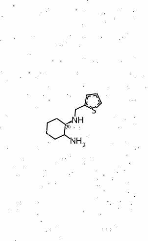 NC1CCCC[C@H]1NCc1cccs1